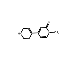 Cn1ccc(C2=CCNCC2)cc1=O